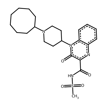 CS(=O)(=O)NC(=O)c1nc2ccccc2n(C2CCN(C3CCCCCCC3)CC2)c1=O